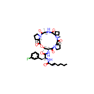 CCCC/C=C/C(=O)N[C@@H](Cc1cccc(F)c1)C(=O)N[C@@H]1C(=O)N2CCC[C@H]2C(=O)N(C)C2(CCC2)C(=O)N[C@@H](C)C(=O)N2CCC[C@H]2C(=O)O[C@H]1C